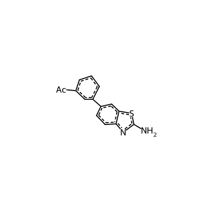 CC(=O)c1cccc(-c2ccc3nc(N)sc3c2)c1